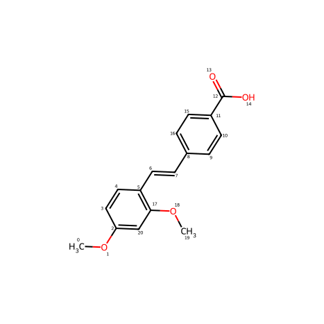 COc1ccc(C=Cc2ccc(C(=O)O)cc2)c(OC)c1